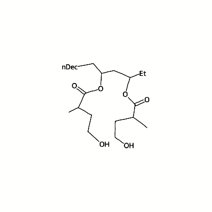 [CH2]CC(CC(CCCCCCCCCCC)OC(=O)C(C)CCO)OC(=O)C(C)CCO